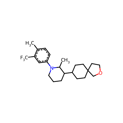 Cc1ccc(N2CCCC(C3CCC4(CCOC4)CC3)C2C)cc1C(F)(F)F